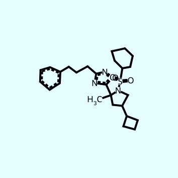 CC1(c2nc(CCCc3ccccc3)no2)CC(C2CCC2)CN1S(=O)(=O)C1CCCCC1